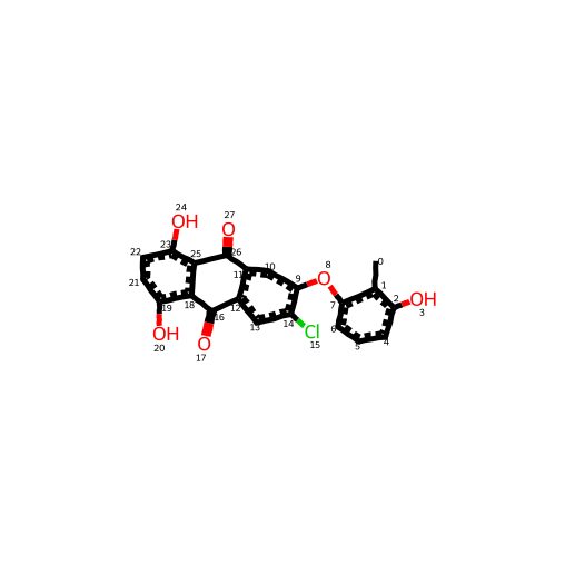 Cc1c(O)cccc1Oc1cc2c(cc1Cl)C(=O)c1c(O)ccc(O)c1C2=O